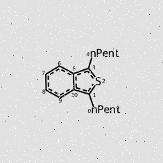 CCCCCc1sc(CCCCC)c2ccccc12